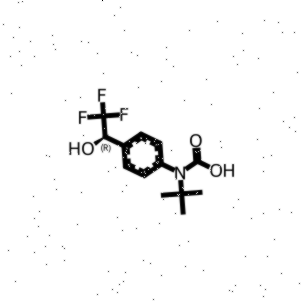 CC(C)(C)N(C(=O)O)c1ccc([C@@H](O)C(F)(F)F)cc1